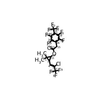 CC1(C)C(C=C(Cl)C(F)(F)F)C1OC(=O)Cc1c(F)c(F)c(C(F)(F)F)c(F)c1F